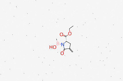 C=C1C[C@@H](C(=O)OCC)N(B(C)O)C1=O